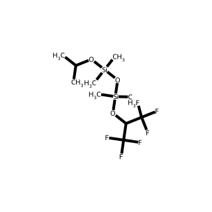 CC(C)O[Si](C)(C)O[Si](C)(C)OC(C(F)(F)F)C(F)(F)F